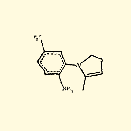 CC1=CSCN1c1cc(C(F)(F)F)ccc1N